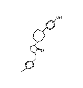 Cc1ccc(CN2CCC(N3CCCC(c4ccc(O)cc4)CC3)C2=O)cc1